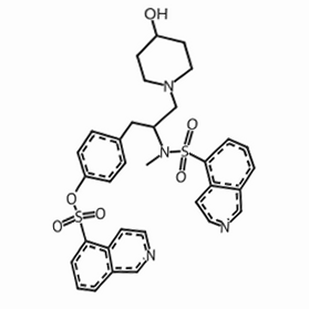 CN(C(Cc1ccc(OS(=O)(=O)c2cccc3cnccc23)cc1)CN1CCC(O)CC1)S(=O)(=O)c1cccc2cnccc12